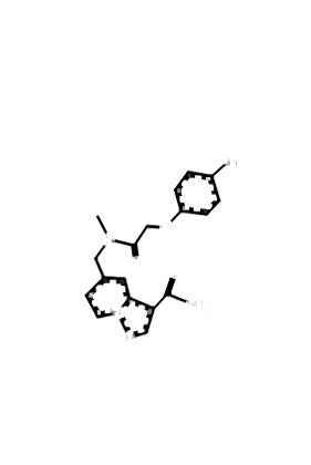 CC(C)c1ccc(OCC(=O)N(C)Cc2ccn3ncc(C(N)=O)c3c2)cc1